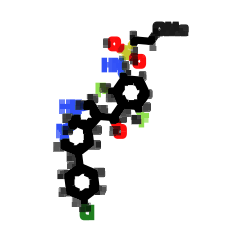 COCCS(=O)(=O)Nc1ccc(F)c(C(=O)c2c[nH]c3ncc(-c4ccc(Cl)cc4)cc23)c1F